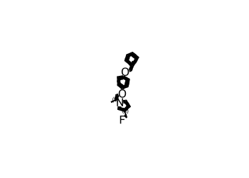 C[C@@H](COc1ccc(OCc2ccccc2)cc1)N1CC[C@@H](CF)C1